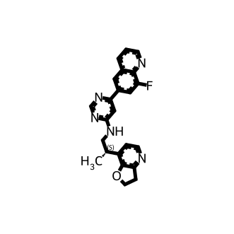 C[C@H](CNc1cc(-c2cc(F)c3ncccc3c2)ncn1)c1ccnc2c1OCC2